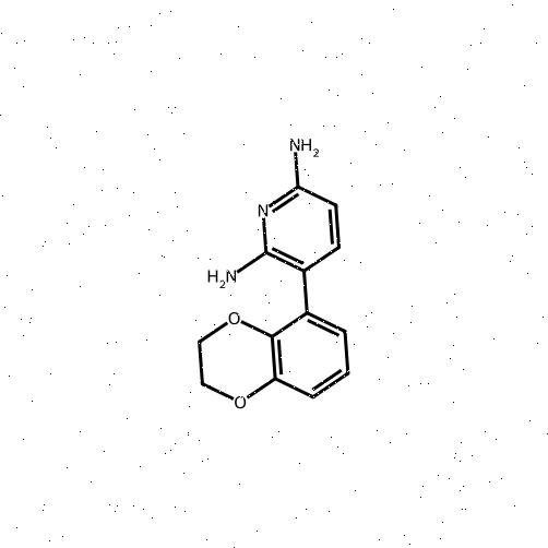 Nc1ccc(-c2cccc3c2OCCO3)c(N)n1